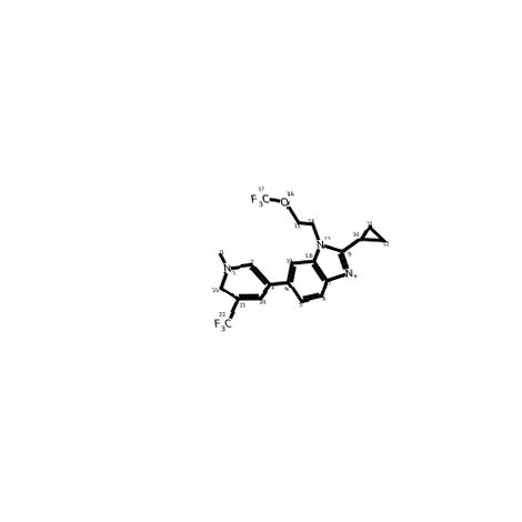 CN1C=C(c2ccc3nc(C4CC4)n(CCOC(F)(F)F)c3c2)C=C(C(F)(F)F)C1